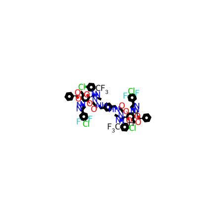 Cc1nc([C@H]2OC3CO[C@H](c4ccccc4)OC3[C@@H](n3cc(-c4cc(F)c(Cl)c(F)c4)nn3)[C@@H]2OCC(=O)NCc2ccc(CNC(=O)CO[C@@H]3[C@@H](n4cc(-c5cc(F)c(Cl)c(F)c5)nn4)[C@H]4O[C@@H](c5ccccc5)OC[C@H]4O[C@H]3c3nc(C)nn3-c3cc(Cl)ccc3C(F)(F)F)cc2)n(-c2cc(Cl)ccc2C(F)(F)F)n1